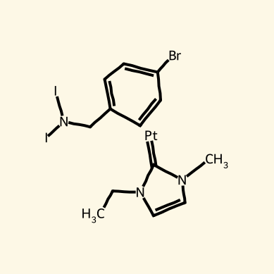 Brc1ccc(CN(I)I)cc1.CCn1ccn(C)[c]1=[Pt]